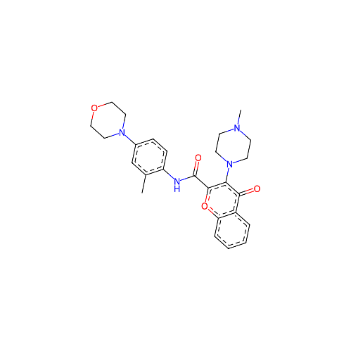 Cc1cc(N2CCOCC2)ccc1NC(=O)c1oc2ccccc2c(=O)c1N1CCN(C)CC1